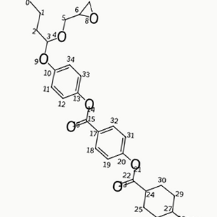 CCCC(OCC1CO1)Oc1ccc(OC(=O)c2ccc(OC(=O)C3CCC(O)CC3)cc2)cc1